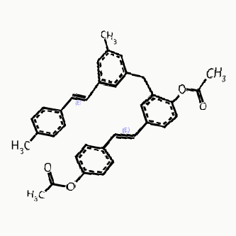 CC(=O)Oc1ccc(/C=C/c2ccc(OC(C)=O)c(Cc3cc(C)cc(/C=C/c4ccc(C)cc4)c3)c2)cc1